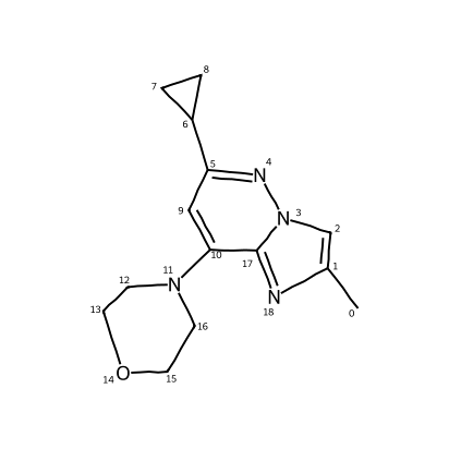 Cc1cn2nc(C3CC3)cc(N3CCOCC3)c2n1